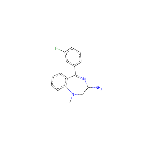 CN1CC(N)N=C(c2cccc(F)c2)c2ccccc21